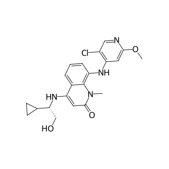 COc1cc(Nc2cccc3c(N[C@H](CO)C4CC4)cc(=O)n(C)c23)c(Cl)cn1